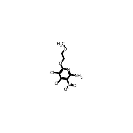 COCCOc1nc(N)c([N+](=O)[O-])c(Cl)c1Cl